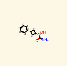 NC(=O)N(O)[C@H]1C[C@H](c2ccccc2)C1